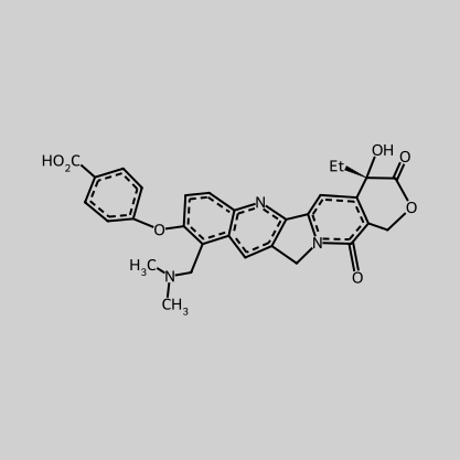 CC[C@@]1(O)C(=O)OCc2c1cc1n(c2=O)Cc2cc3c(CN(C)C)c(Oc4ccc(C(=O)O)cc4)ccc3nc2-1